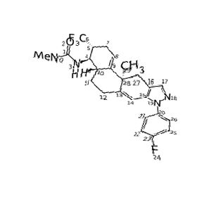 CNC(=O)N[C@H]1[C@H](C(F)(F)F)CC=C2[C@@H]1CCC1=Cc3c(cnn3-c3ccc(F)cc3)C[C@@]12C